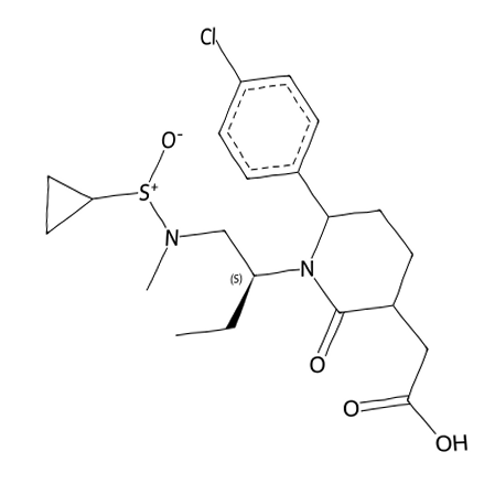 CC[C@@H](CN(C)[S+]([O-])C1CC1)N1C(=O)C(CC(=O)O)CCC1c1ccc(Cl)cc1